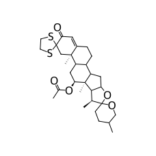 CC(=O)O[C@H]1CC2C(CCC3=CC(=O)C4(C[C@@]32C)SCCS4)C2CC3OC4(CCC(C)CO4)[C@@H](C)C3[C@]21C